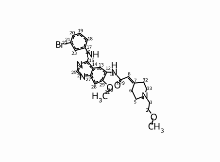 COCCN1CCC(=CC(=O)Nc2cc3c(Nc4cccc(Br)c4)ncnc3cc2OC)CC1